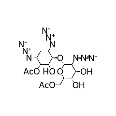 CC(=O)OCC1O[C@H](O[C@@H]2C(N=[N+]=[N-])C[C@@H](N=[N+]=[N-])[C@@H](OC(C)=O)C2O)C(N=[N+]=[N-])[C@@H](O)[C@@H]1O